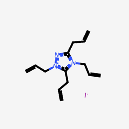 C=CCc1n[n+](CC=C)c(CC=C)n1CC=C.[I-]